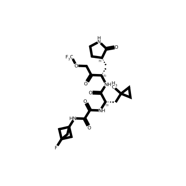 CC1(C[C@H](NC(=O)C(=O)NC23CC(F)(C2)C3)C(=O)N[C@@H](C[C@@H]2CCNC2=O)C(=O)COC(F)(F)F)CC1